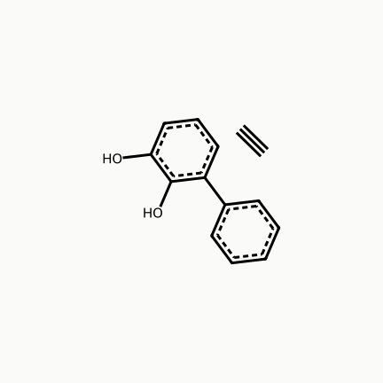 C#C.Oc1cccc(-c2ccccc2)c1O